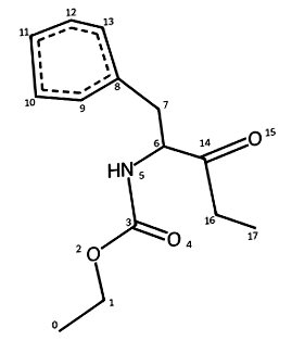 CCOC(=O)NC(Cc1ccccc1)C(=O)CC